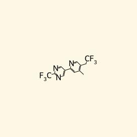 Cc1cc(-c2cnc(C(F)(F)F)nc2)ncc1CC(F)(F)F